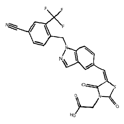 N#Cc1ccc(Cn2ncc3cc(C=C4SC(=O)N(CC(=O)O)C4=O)ccc32)c(C(F)(F)F)c1